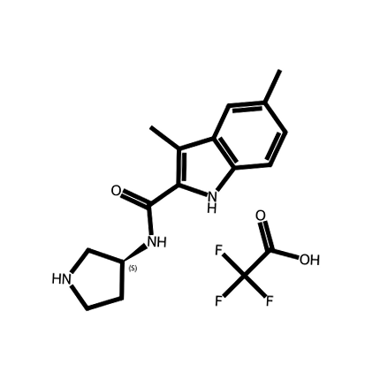 Cc1ccc2[nH]c(C(=O)N[C@H]3CCNC3)c(C)c2c1.O=C(O)C(F)(F)F